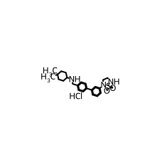 CC1(C)CCC(NCc2ccc(-c3cccc(N4CCNS4(=O)=O)c3)cc2)CC1.Cl